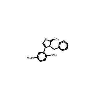 C=C1SC=C(c2cc(OC)ccc2OC)N1Cc1cccnc1